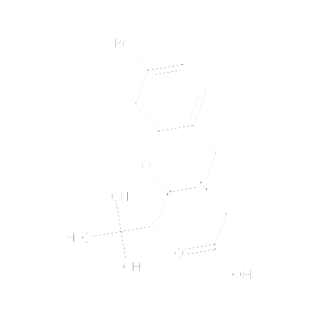 CC(C)(C)OC(=O)N(CC(=O)O)Cc1ccc(Br)cc1